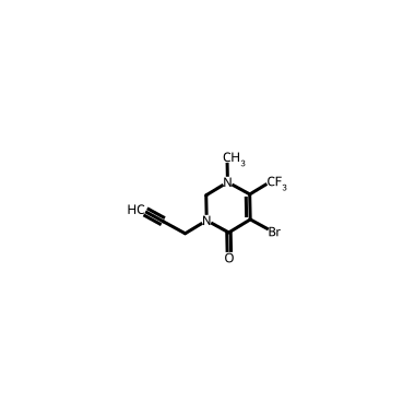 C#CCN1CN(C)C(C(F)(F)F)=C(Br)C1=O